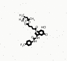 CN(C)CC(C)(C)OC(=O)CCCC(=O)n1cc(NC(=O)Nc2ccc(C(F)(F)F)cc2)c2cc(Cl)ccc21.Cl